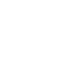 C=CC[N+](C)(C)c1ccccc1CCCCCCCCCCCCCCC.[Cl-]